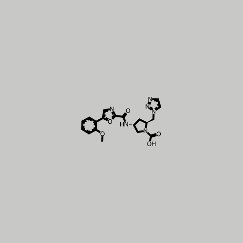 COc1ccccc1-c1cnc(C(=O)N[C@@H]2C[C@@H](Cn3ccnn3)N(C(=O)O)C2)o1